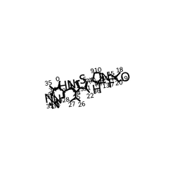 Cc1c(-c2[nH]c3sc([C@@H]4CC5C[C@H]4CN5CC4(F)COC4)c(C)c3c2C(C)C)cn2ncnc2c1C